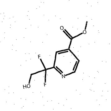 COC(=O)c1ccnc(C(F)(F)CO)c1